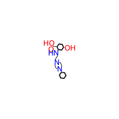 O=C(O)c1ccc(O)cc1NCCN1CCN(c2ccccc2)CC1